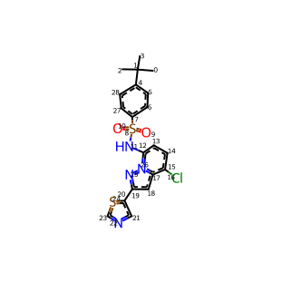 CC(C)(C)c1ccc(S(=O)(=O)Nc2ccc(Cl)c3cc(-c4cncs4)nn23)cc1